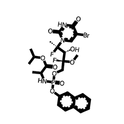 CO[C@](F)(COP(=O)(NC(C)C(=O)OC(C)C)Oc1ccc2ccccc2c1)[C@@H](O)[C@@](C)(F)n1cc(Br)c(=O)[nH]c1=O